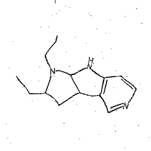 CCC1CC2c3cnccc3NC2N1CC